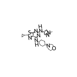 Cn1cc(Nc2nc(N[C@H]3CC[C@H](N4CCOCC4)CC3)c3nc(C4CC4)sc3n2)cn1